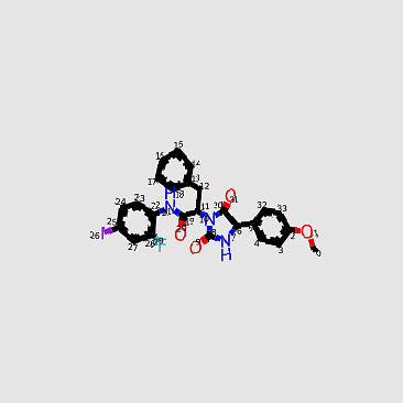 COc1ccc(C2NC(=O)N(C(Cc3ccccc3)C(=O)Nc3ccc(I)cc3F)C2=O)cc1